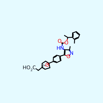 Cc1ccccc1C(C)OC(=O)Nc1c(C)noc1-c1ccc(C23CCC(CC(=O)O)(CC2)CO3)cc1